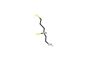 CCC[SiH](S)CCCS